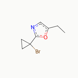 CCc1cnc(C2(Br)CC2)o1